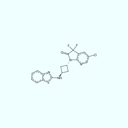 O=C1N([C@H]2C[C@H](Nc3nc4ccccc4s3)C2)c2ncc(Cl)cc2C1(F)F